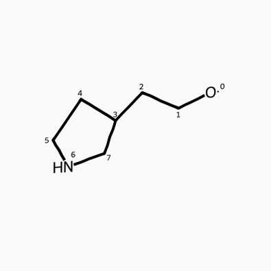 [O]CCC1CCNC1